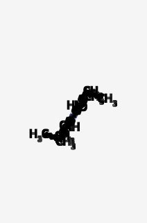 CCCCCC[N+](C)(C)Cc1ccc(C(=O)Nc2ccc(/C=C/c3ccc(NC(=O)c4ccc(C[N+](C)(C)CCCCCC)cc4)cc3)cc2)cc1